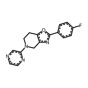 Fc1ccc(-c2nc3c(o2)CCN(c2cnccn2)C3)cc1